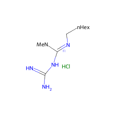 CCCCCCC/N=C(\NC)NC(=N)N.Cl